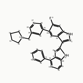 Fc1cc2[nH]nc(-c3nc4c(-c5cccnc5)nccc4[nH]3)c2cc1-c1cncc(CN2CCCC2)c1